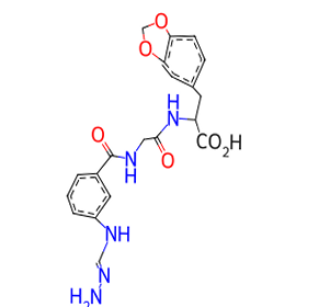 NN=CNc1cccc(C(=O)NCC(=O)NC(Cc2ccc3c(c2)OCO3)C(=O)O)c1